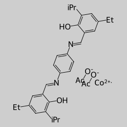 CC(=O)[O-].CC(=O)[O-].CCc1cc(C=Nc2ccc(N=Cc3cc(CC)cc(C(C)C)c3O)cc2)c(O)c(C(C)C)c1.[Co+2]